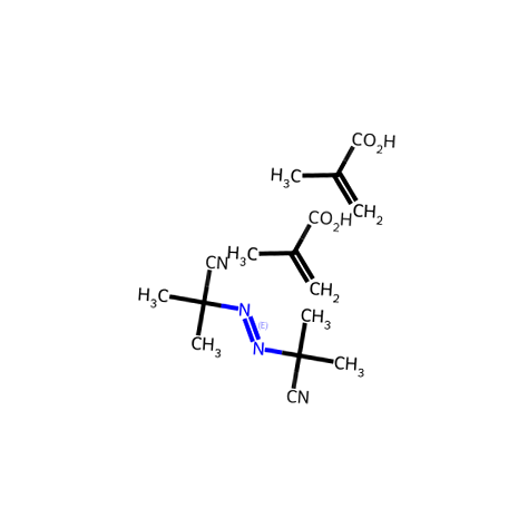 C=C(C)C(=O)O.C=C(C)C(=O)O.CC(C)(C#N)/N=N/C(C)(C)C#N